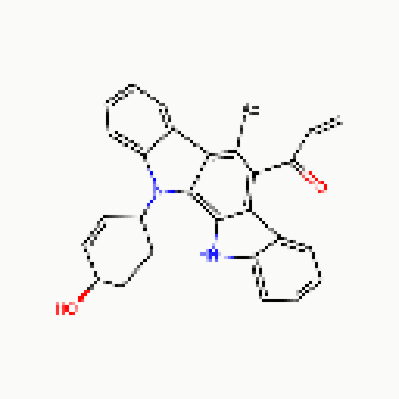 C=CC(=O)c1c(C(C)=O)c2c3ccccc3n(C3C=C[C@H](O)CC3)c2c2[nH]c3ccccc3c12